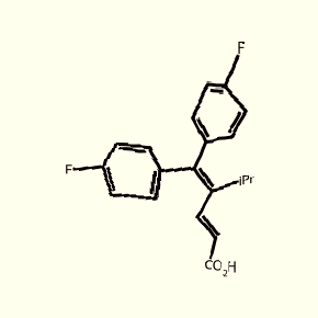 CC(C)C(C=CC(=O)O)=C(c1ccc(F)cc1)c1ccc(F)cc1